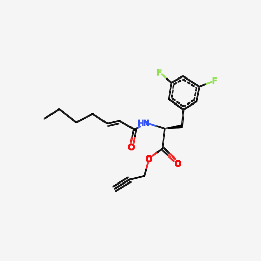 C#CCOC(=O)[C@H](Cc1cc(F)cc(F)c1)NC(=O)/C=C/CCCC